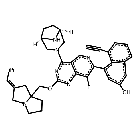 C#Cc1cccc2cc(O)cc(-c3ncc4c(N5C[C@H]6CC[C@@H](C5)N6)nc(OCC56CCCN5CC(=CC(C)C)C6)nc4c3F)c12